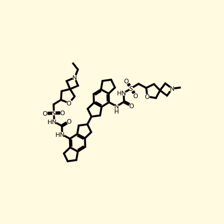 CCN1CC2(COC(CS(=O)(=O)NC(=O)Nc3c4c(cc5c3CC(C3Cc6cc7c(c(NC(=O)NS(=O)(=O)CC8CC9(CO8)CN(C)C9)c6C3)CCC7)C5)CCC4)C2)C1